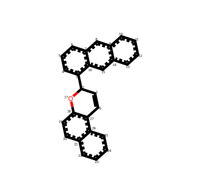 C1=CC(c2cccc3cc4ccccc4cc23)Oc2ccc3ccccc3c21